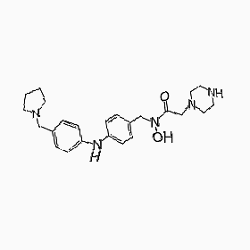 O=C(CN1CCNCC1)N(O)Cc1ccc(Nc2ccc(CN3CCCC3)cc2)cc1